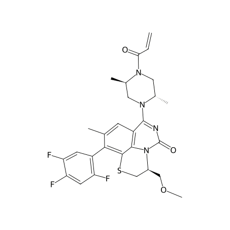 C=CC(=O)N1C[C@H](C)N(c2nc(=O)n3c4c(c(-c5cc(F)c(F)cc5F)c(C)cc24)SC[C@@H]3COC)C[C@H]1C